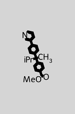 COC(=O)c1ccc(C(C)(c2ccc(-c3cccnc3)cc2)C(C)C)cc1